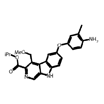 COCc1c(C(=O)OC(C)C)ncc2[nH]c3ccc(Oc4ccc(N)c(C)c4)cc3c12